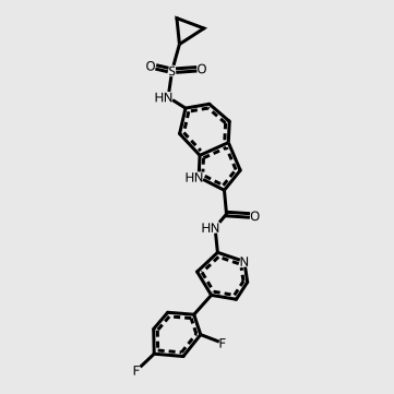 O=C(Nc1cc(-c2ccc(F)cc2F)ccn1)c1cc2ccc(NS(=O)(=O)C3CC3)cc2[nH]1